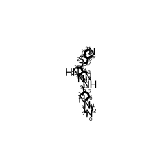 CN1CCN(c2ccc(CNc3ncc4c(-c5cc6cnccc6s5)c[nH]c4n3)cn2)CC1